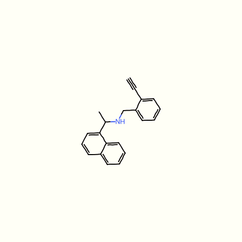 C#Cc1ccccc1CNC(C)c1cccc2ccccc12